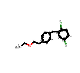 COCOCCc1ccc(Cc2cc(Br)ccc2Cl)cc1